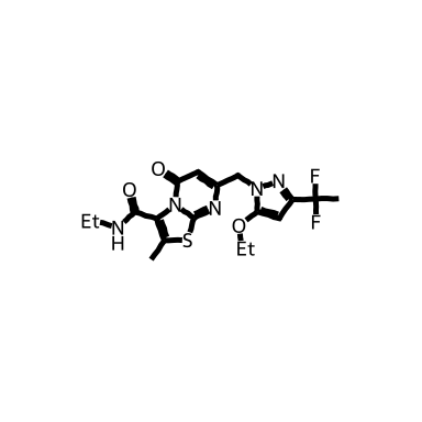 CCNC(=O)c1c(C)sc2nc(Cn3nc(C(C)(F)F)cc3OCC)cc(=O)n12